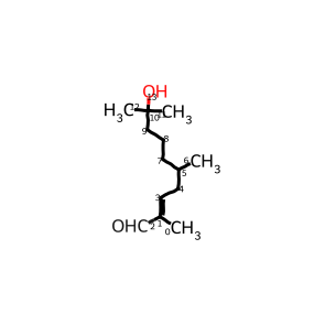 CC(C=O)=CCC(C)CCCC(C)(C)O